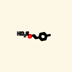 Cc1ccc(C=COC(=O)O)cc1